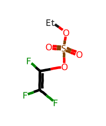 CCOS(=O)(=O)OC(F)=C(F)F